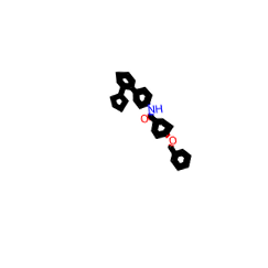 O=C(Nc1ccc(-c2ccccc2C2CCCC2)cc1)c1ccc(OCc2ccccc2)cc1